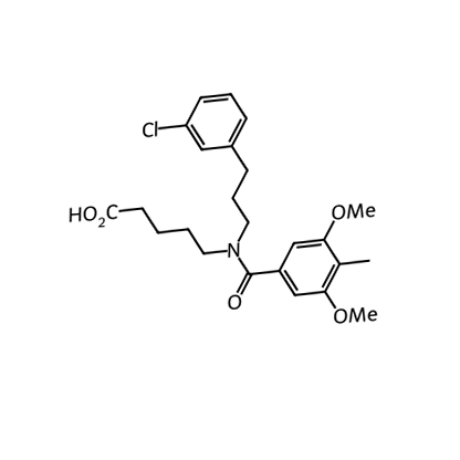 COc1cc(C(=O)N(CCCCC(=O)O)CCCc2cccc(Cl)c2)cc(OC)c1C